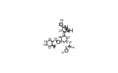 COC[C@H](C)Cc1cc(OCc2ccccc2F)cc(-c2cc(OC)n[nH]2)c1